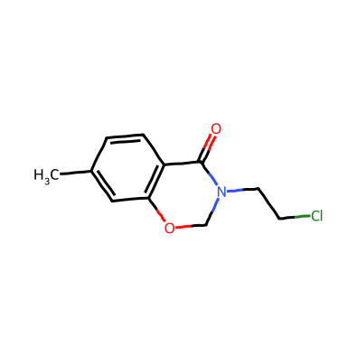 Cc1ccc2c(c1)OCN(CCCl)C2=O